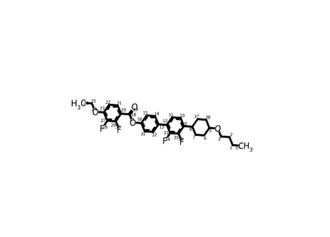 CCCCOC1CCC(c2ccc(-c3ccc(OC(=O)c4ccc(OCC)c(F)c4F)cc3)c(F)c2F)CC1